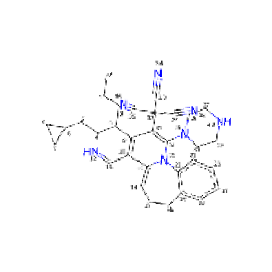 CCCC(CCC1CC1)C1=C(C=N)C2=CCCc3ccccc3N2C(N2CCNCC2)=C1C(C#N)(C#N)C#N